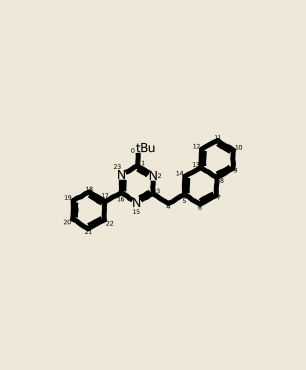 CC(C)(C)c1nc(Cc2ccc3ccccc3c2)nc(-c2ccccc2)n1